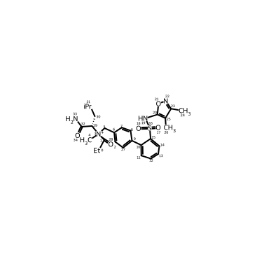 CCC(=O)[N+](C)(Cc1ccc(-c2ccccc2S(=O)(=O)Nc2onc(C)c2C)cc1)[C@@H](CC(C)C)C(N)=O